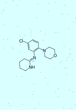 Clc1ccc(N2CCOCC2)c(/N=C2\CCCCN2)c1